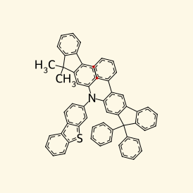 CC1(C)c2ccccc2-c2ccc(N(c3ccc4c(c3)sc3ccccc34)c3cc4c(cc3-c3ccccc3)-c3ccccc3C4(c3ccccc3)c3ccccc3)cc21